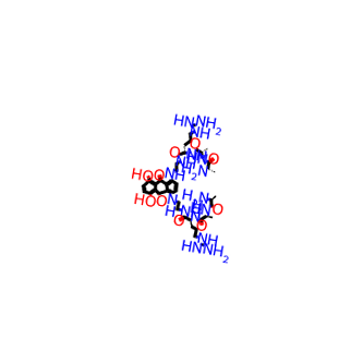 C[C@H](N)C(=O)N[C@@H](C)C(=O)N[C@@H](CCCNC(=N)N)C(=O)NCCNc1ccc(NCCNC(=O)[C@H](CCCNC(=N)N)NC(=O)[C@H](C)NC(=O)[C@H](C)N)c2c1C(=O)c1c(O)ccc(O)c1C2=O